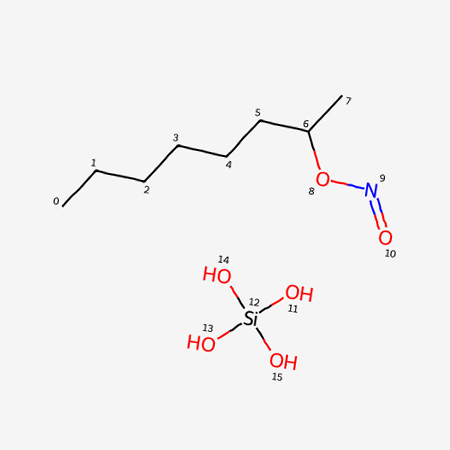 CCCCCCC(C)ON=O.O[Si](O)(O)O